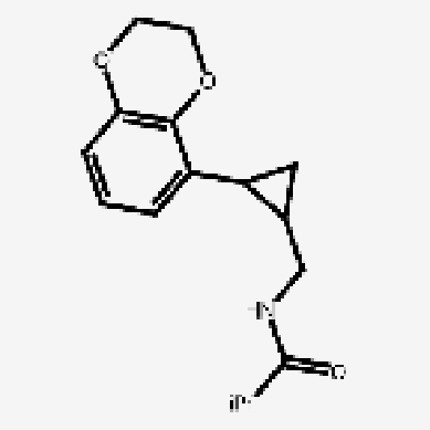 CC(C)C(=O)NCC1CC1c1cccc2c1OCCO2